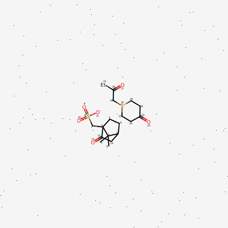 CC1(C)C2CCC1(CS(=O)(=O)[O-])C(=O)C2.CCC(=O)C[S+]1CCC(=O)CC1